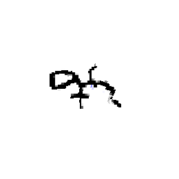 C=N/C=C\C=C(/CC)C(C1=CC=CCC1)C(C)(C)C